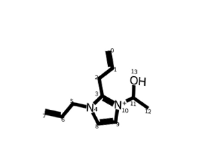 C=CCc1n(CC=C)cc[n+]1C(C)O